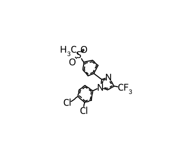 CS(=O)(=O)c1ccc(-c2nc(C(F)(F)F)cn2-c2ccc(Cl)c(Cl)c2)cc1